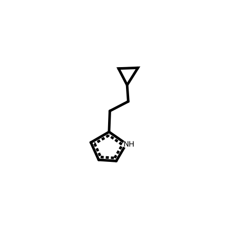 c1c[nH]c(CCC2CC2)c1